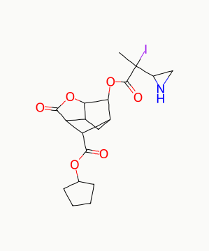 CC(I)(C(=O)OC1C2CC3C1OC(=O)C3C2C(=O)OC1CCCC1)C1CN1